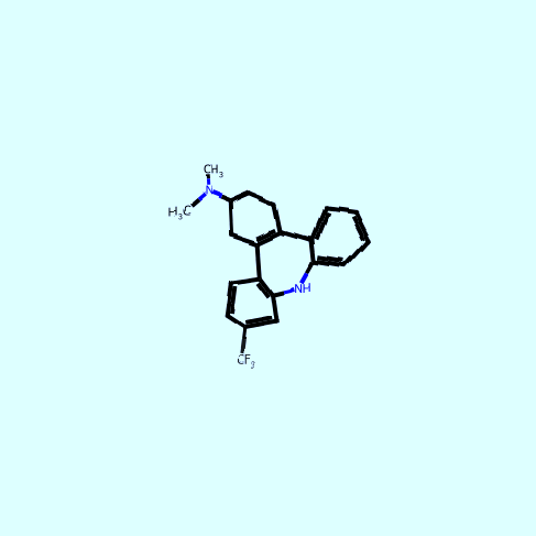 CN(C)C1CCC2=C(C1)c1ccc(C(F)(F)F)cc1Nc1ccccc12